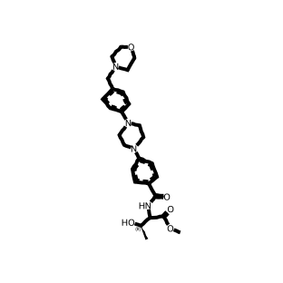 COC(=O)C(NC(=O)c1ccc(N2CCN(c3ccc(CN4CCOCC4)cc3)CC2)cc1)[C@@H](C)O